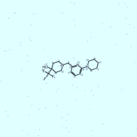 OC1(C(F)(F)F)CCN(Cc2cccc(N3CCCCC3)n2)CC1